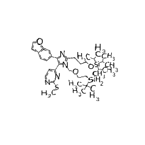 CSc1nccc(-c2c(-c3ccc4ccoc4c3)nc(CCCO[Si](C(C)C)(C(C)C)C(C)C)n2COCC[SiH2]C(C)(C)C)n1